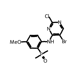 COc1ccc(Nc2nc(Cl)ncc2Br)c(P(C)(C)=O)c1